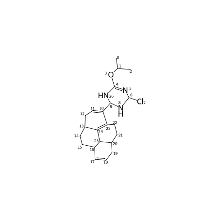 CC(C)OC1=NC(Cl)NC(C2=CCC3CCC4C=CCC5CCC2=C3C45)N1